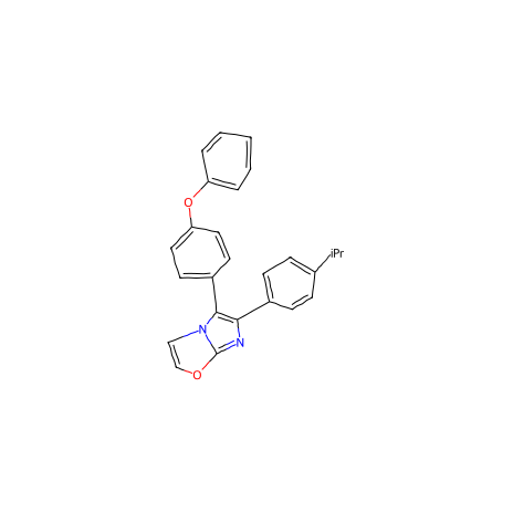 CC(C)c1ccc(-c2nc3occn3c2-c2ccc(Oc3ccccc3)cc2)cc1